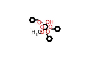 CO[C@H]1O[C@H](COCc2ccccc2)[C@@H](O)[C@H](OCc2ccccc2)[C@H]1OCc1ccccc1